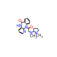 CN1CCCC1N(C)CC(=O)N1c2ccccc2C(=O)Nc2cccnc21